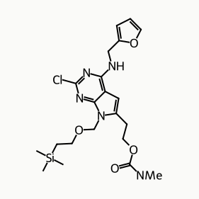 CNC(=O)OCCc1cc2c(NCc3ccco3)nc(Cl)nc2n1COCC[Si](C)(C)C